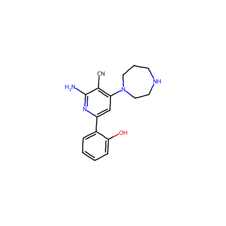 N#Cc1c(N2CCCNCC2)cc(-c2ccccc2O)nc1N